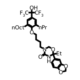 CCCCCCCCc1cc(C(O)(C(F)(F)F)C(F)(F)F)cc(CCC)c1OCCCCN1COC(CC)(c2ccc3c(c2)OCO3)NC1=O